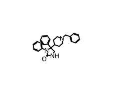 O=C1NCC(c2ccccc2)(C2CCN(Cc3ccccc3)CC2)N1c1ccccc1